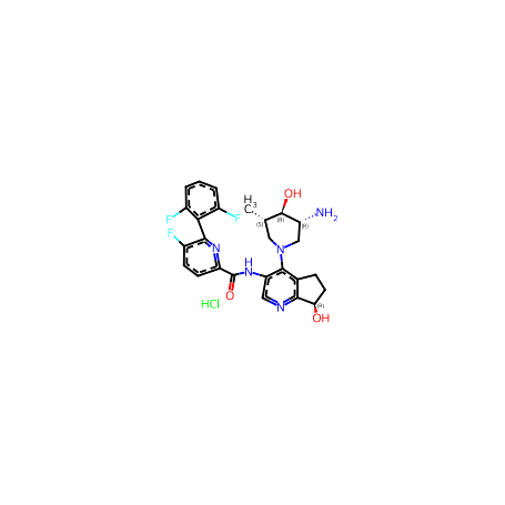 C[C@H]1CN(c2c(NC(=O)c3ccc(F)c(-c4c(F)cccc4F)n3)cnc3c2CC[C@H]3O)C[C@@H](N)[C@@H]1O.Cl